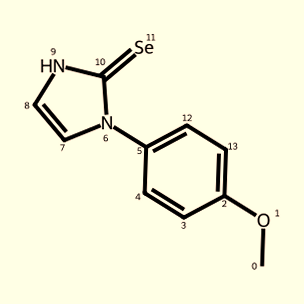 COc1ccc(-n2cc[nH]c2=[Se])cc1